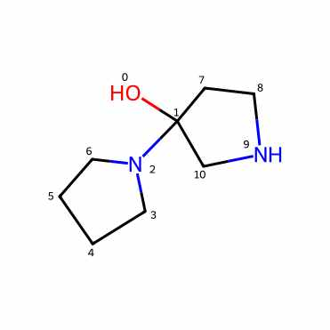 OC1(N2CCCC2)CCNC1